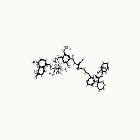 COc1cc(NCC(=O)NCCCc2cccc(C3(C(=O)O[C@H]4CN5CCC4CC5)CCCCC3)c2)c(Cl)cc1CNC[C@H](O[Si](C)(C)C(C)(C)C)c1ccc(O)c2[nH]c(=O)ccc12